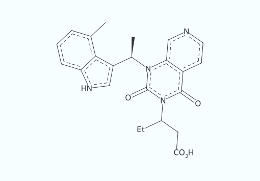 CCC(CC(=O)O)n1c(=O)c2ccncc2n([C@H](C)c2c[nH]c3cccc(C)c23)c1=O